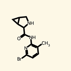 Cc1ccc(Br)nc1NC(=O)C1NCC2CC21